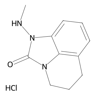 CNn1c(=O)n2c3c(cccc31)CCC2.Cl